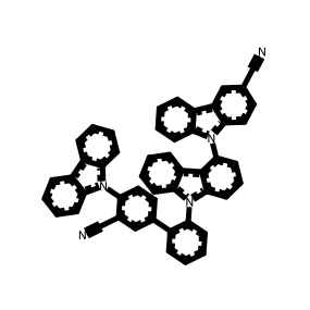 N#Cc1ccc2c(c1)c1ccccc1n2-c1cccc2c1c1ccccc1n2-c1ccccc1-c1ccc(-n2c3ccccc3c3ccccc32)c(C#N)c1